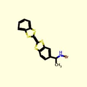 CC(NBr)c1ccc2c(c1)SC(=C1Sc3ccccc3S1)S2